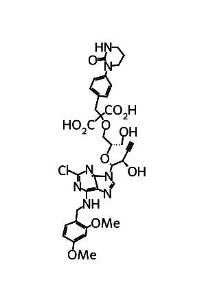 C#C[C@@H](O)[C@@H](O[C@@H](CO)COC(Cc1ccc(N2CCCNC2=O)cc1)(C(=O)O)C(=O)O)n1cnc2c(NCc3ccc(OC)cc3OC)nc(Cl)nc21